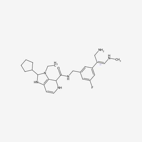 CCN1C2=C(C=CNC2C(=O)NCc2cc(F)cc(/C(=C/NC)CN)c2)NC1C1CCCC1